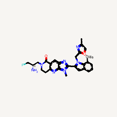 COc1cccc2cc(-c3nc4cc5c(nc4n3C)CCN(C[C@H](N)CF)C5=O)n(Cc3nc(C)co3)c12